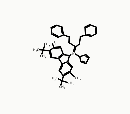 Cc1cc2c(cc1C(C)(C)C)-c1cc(C(C)(C)C)c(C)cc1[CH]2[Zr](=[C](CCc1ccccc1)CCc1ccccc1)[CH]1C=CC=C1